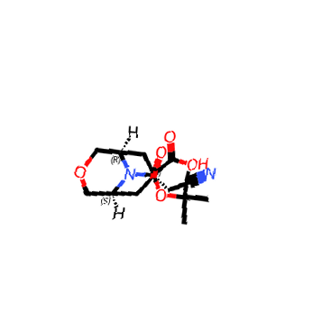 CC(C)(C)OC(=O)N1[C@@H]2COC[C@H]1C[C@@](CC#N)(C(=O)O)C2